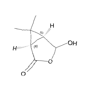 CC1(C)[C@@H]2C(=O)OC(O)[C@@H]21